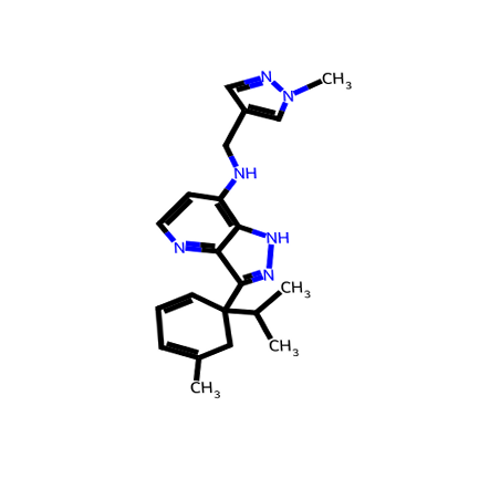 CC1=CC=CC(c2n[nH]c3c(NCc4cnn(C)c4)ccnc23)(C(C)C)C1